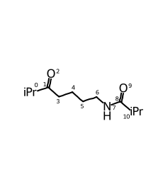 CC(C)C(=O)CCCCNC(=O)C(C)C